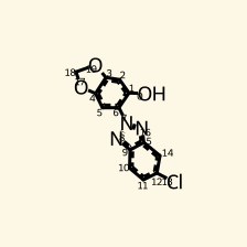 Oc1cc2c(cc1-n1nc3ccc(Cl)cc3n1)OCO2